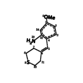 COc1ccc(C=C2CCSCC2)c(N)c1